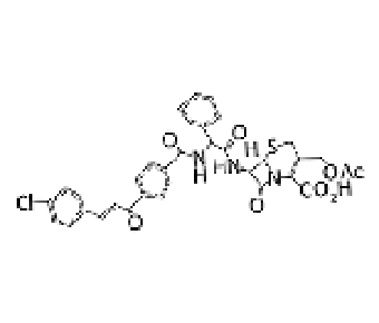 CC(=O)OCC1=C(C(=O)O)N2C(=O)[C@@H](NC(=O)C(NC(=O)c3ccc(C(=O)C=Cc4ccc(Cl)cc4)cc3)c3ccccc3)[C@H]2SC1